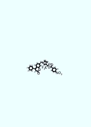 CCC(OC(=O)c1ccc([N+](=O)[O-])cc1)(c1cn(Cc2ccc3c(-c4ccccc4)cc(=O)oc3c2)nn1)C(F)(F)F